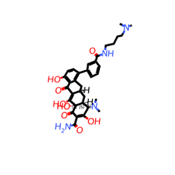 CN(C)CCCCNC(=O)c1cccc(-c2ccc(O)c3c2C[C@H]2C[C@H]4[C@H](N(C)C)C(O)=C(C(N)=O)C(=O)[C@@]4(O)C(O)=C2C3=O)c1